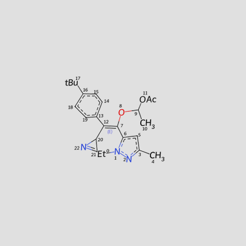 CCn1nc(C)cc1/C(OC(C)OC(C)=O)=C(/c1ccc(C(C)(C)C)cc1)C1C=N1